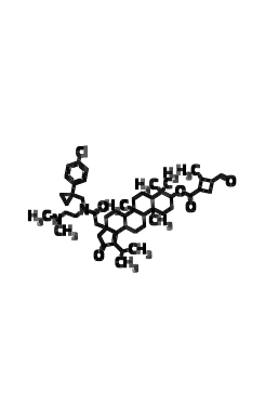 CC(C)C1=C2C3CCC4C(C)(CCC5C(C)(C)C(OC(=O)C6CC(C=O)C6C)CCC54C)C3CCC2(CC(=O)N(CCN(C)C)CC2(c3ccc(Cl)cc3)CC2)CC1=O